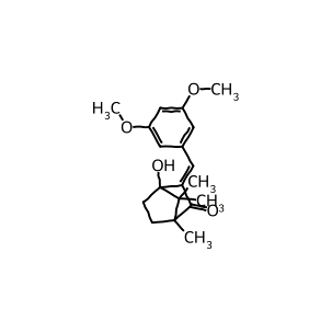 COc1cc(C=C2C(=O)C3(C)CCC2(O)C3(C)C)cc(OC)c1